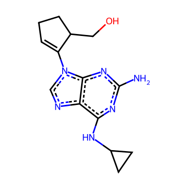 Nc1nc(NC2CC2)c2ncn(C3=CCCC3CO)c2n1